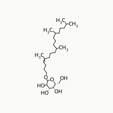 CC(=CCCCOC1O[C@H](CO)[C@H](O)[C@H](O)[C@H]1O)CCCC(C)CCCC(C)CCCC(C)C